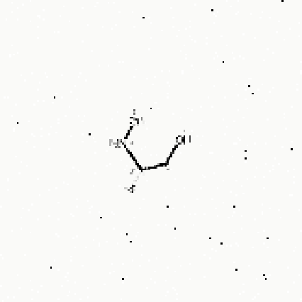 C[C@@H](CO)NO